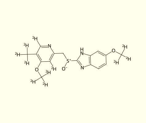 [2H]c1nc(C[S+]([O-])c2nc3ccc(OC([2H])([2H])[2H])cc3[nH]2)c([2H])c(OC([2H])([2H])[2H])c1C([2H])([2H])[2H]